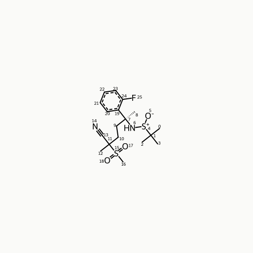 CC(C)(C)[S+]([O-])N[C@@](C)(CCC(C)(C#N)S(C)(=O)=O)c1ccccc1F